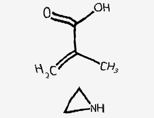 C1CN1.C=C(C)C(=O)O